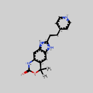 CC1(C)OC(=O)Nc2cc3nc(CCc4ccncc4)[nH]c3cc21